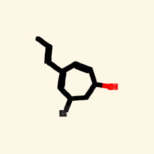 C/C=C/C1=CC(CC)CC(O)C=C1